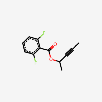 CC#CC(C)OC(=O)c1c(F)cccc1F